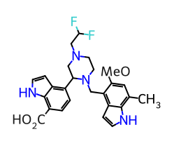 COc1cc(C)c2[nH]ccc2c1CN1CCN(CC(F)F)CC1c1ccc(C(=O)O)c2[nH]ccc12